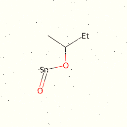 CCC(C)[O][Sn]=[O]